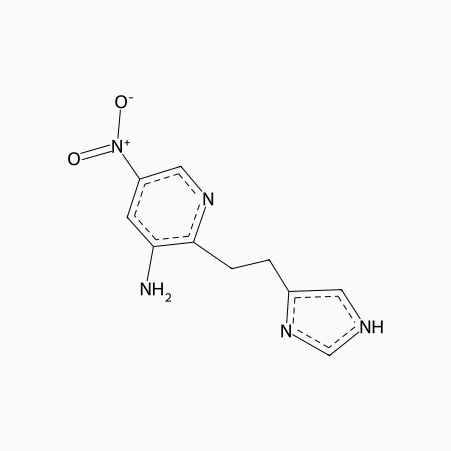 Nc1cc([N+](=O)[O-])cnc1CCc1c[nH]cn1